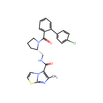 Cc1nc2sccn2c1C(=O)NC[C@@H]1CCCN1C(=O)c1ccccc1-c1ccc(Cl)cc1